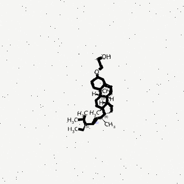 CC[C@H](/C=C/[C@@H](C)[C@H]1CC[C@H]2[C@@H]3CC=C4CC(OCCO)CC[C@]4(C)[C@H]3CC[C@]12C)C(C)C